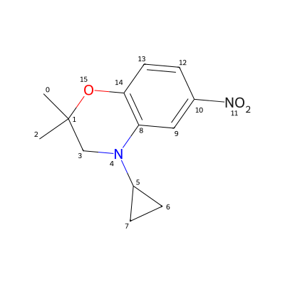 CC1(C)CN(C2CC2)c2cc([N+](=O)[O-])ccc2O1